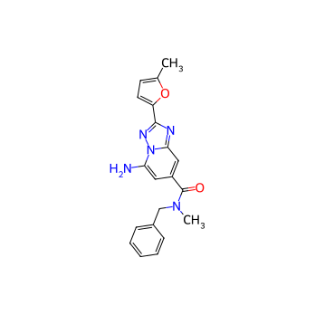 Cc1ccc(-c2nc3cc(C(=O)N(C)Cc4ccccc4)cc(N)n3n2)o1